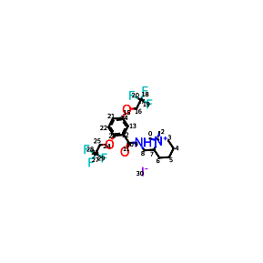 C[N+]1(C)CCCCC1CNC(=O)c1cc(OCC(F)(F)F)ccc1OCC(F)(F)F.[I-]